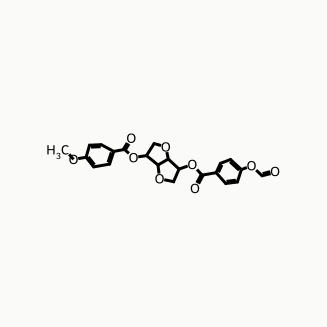 COc1ccc(C(=O)OC2COC3C(OC(=O)c4ccc(OC=O)cc4)COC23)cc1